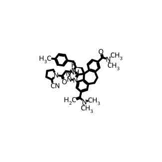 C=C(c1ccc2c(c1)CCc1cc(C(=O)N(C)C)ccc1C2(C[C@H](Cc1ccc(C)cc1)NCC(=O)N1CCCC1C#N)c1nnn[nH]1)N(C)C